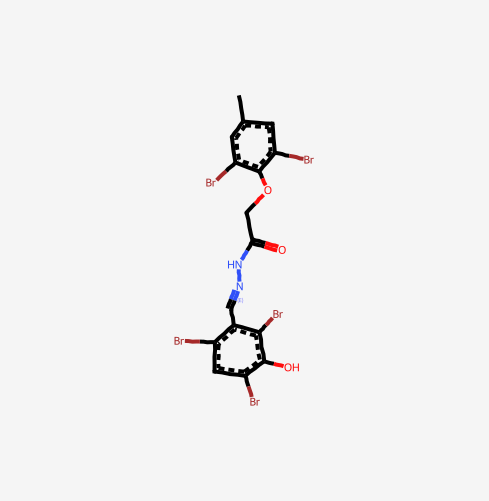 Cc1cc(Br)c(OCC(=O)N/N=C/c2c(Br)cc(Br)c(O)c2Br)c(Br)c1